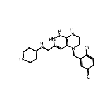 ClC1=CCC(Cl)C=C1CN1CCNC2=C1C=C(CNC1CCNCC1)NN2